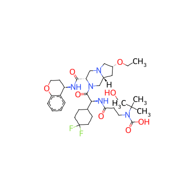 CCO[C@@H]1C[C@@H]2CN(C(=O)[C@@H](NC(=O)[C@H](CO)CN(C(=O)O)C(C)(C)C)C3CCC(F)(F)CC3)[C@H](C(=O)N[C@@H]3CCOc4ccccc43)CN2C1